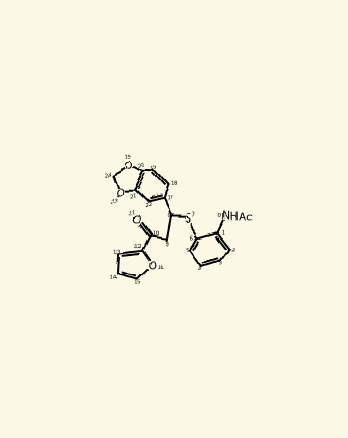 CC(=O)Nc1ccccc1SC(CC(=O)c1ccco1)c1ccc2c(c1)OCO2